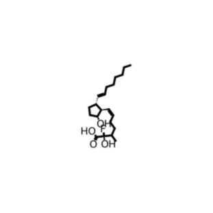 CCCCCC/C=C/[C@H]1CC[C@H](O)[C@@H]1/C=C\CCC(C)[C@@](O)(F)C(=O)O